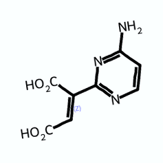 Nc1ccnc(/C(=C/C(=O)O)C(=O)O)n1